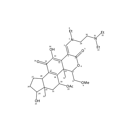 CCN(C=C1C(=O)OC(COC)C2(C)C1=C(O)C(=O)C1=C2C(OC(C)=O)CC2(C)C(O)CCC12)CCN(CC)CC